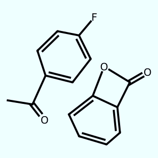 CC(=O)c1ccc(F)cc1.O=C1Oc2ccccc21